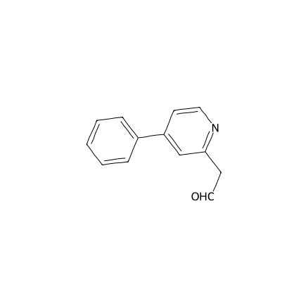 O=CCc1cc(-c2ccccc2)ccn1